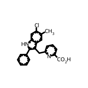 Cc1cc2c(Cc3cccc(C(=O)O)n3)c(-c3ccccc3)[nH]c2cc1Cl